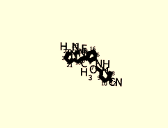 CC1(c2cc(NC(=O)c3ccc(C#N)cn3)ccc2F)Cc2cccn2C(N)=N1